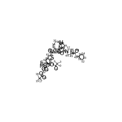 CC(C)(C)C(=O)OCOP(=O)(OCOC(=O)C(C)(C)C)C(F)(F)c1ccc2sc(C(=O)NC3CCCC[C@H]4CC[C@@H](C(=O)N5CCN(C(=O)Cc6ccccc6)CC5)N4C3=O)cc2c1